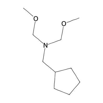 COCN(COC)CC1CCCC1